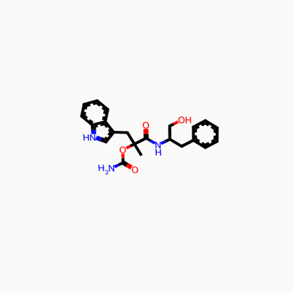 CC(Cc1c[nH]c2ccccc12)(OC(N)=O)C(=O)NC(CO)Cc1ccccc1